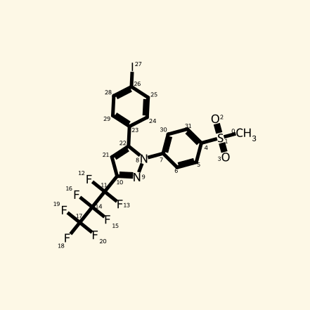 CS(=O)(=O)c1ccc(-n2nc(C(F)(F)C(F)(F)C(F)(F)F)cc2-c2ccc(I)cc2)cc1